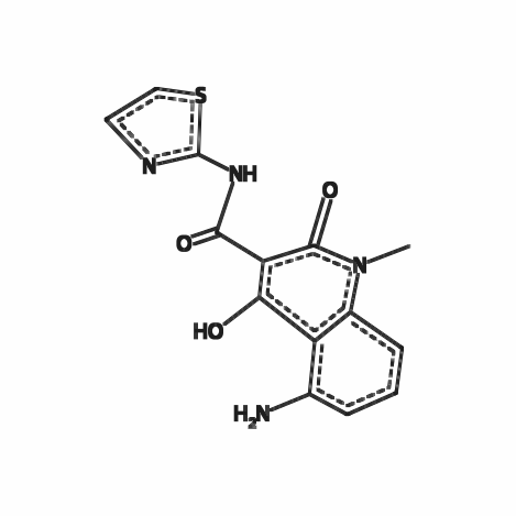 Cn1c(=O)c(C(=O)Nc2nccs2)c(O)c2c(N)cccc21